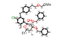 CC[C@H]1O[C@@](O)(c2cc(Cc3ccc(CCOCOC)cc3)c(Cl)cc2C)[C@H](OCc2ccccc2)[C@@H](OCc2ccccc2)[C@@H]1C